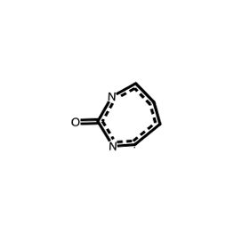 O=c1n[c]cccn1